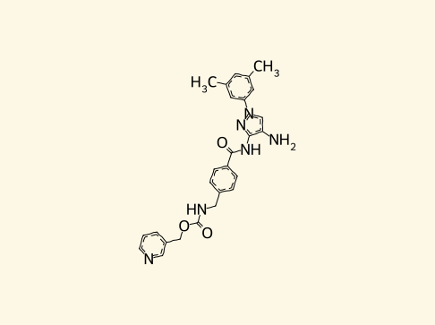 Cc1cc(C)cc(-n2cc(N)c(NC(=O)c3ccc(CNC(=O)OCc4cccnc4)cc3)n2)c1